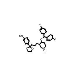 CC(C)(C)c1ccc(C2(CCCC3CNCCC3OC(c3ccc(F)cc3)c3ccc(F)cc3)OCCO2)cc1